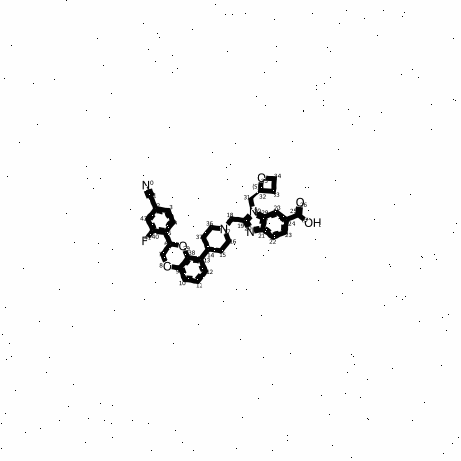 N#Cc1ccc(C2COc3cccc(C4CCN(Cc5nc6ccc(C(=O)O)cc6n5C[C@@H]5CCO5)CC4)c3O2)c(F)c1